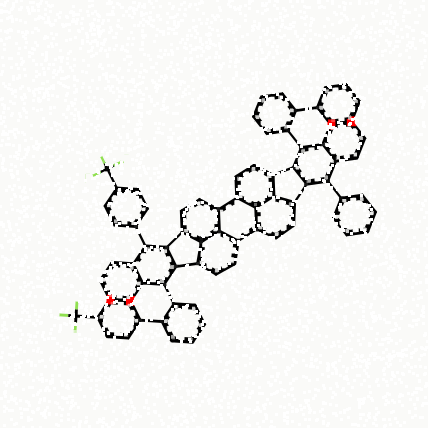 FC(F)(F)c1ccc(-c2ccccc2-c2c3c(c(-c4ccc(C(F)(F)F)cc4)c4ccccc24)-c2ccc4c5ccc6c7c(ccc(c8ccc-3c2c48)c75)-c2c-6c(-c3ccccc3-c3ccccc3)c3ccccc3c2-c2ccccc2)cc1